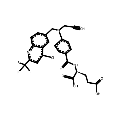 C#CCN(Cc1ccc2nc(C(F)(F)F)cc(Cl)c2c1)c1ccc(C(=O)N[C@@H](CCC(=O)O)C(=O)O)cc1